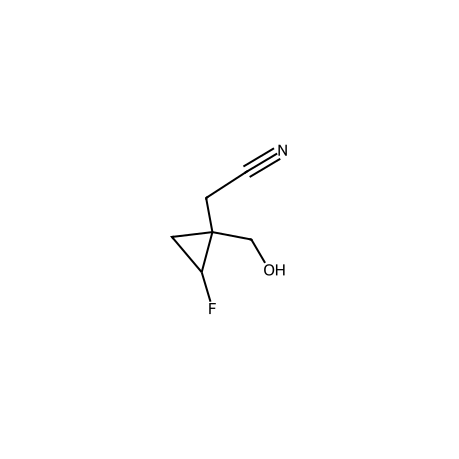 N#CCC1(CO)CC1F